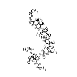 COCCn1ncc(-c2ccc(-c3cnc(C(=O)Nc4ccc(C(=O)N5CCN(C(=O)CCC[N+](CCCCN)(CCCCN)CC(=O)O)CC5C)c(Cl)c4)n3C)c(F)c2F)c1C